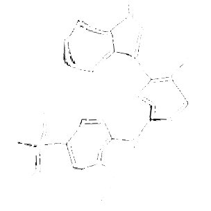 CN=S(C)(=O)c1ccc(Nc2ncc(Cl)c(-c3c[nH]c4ccccc34)n2)c(OC)c1